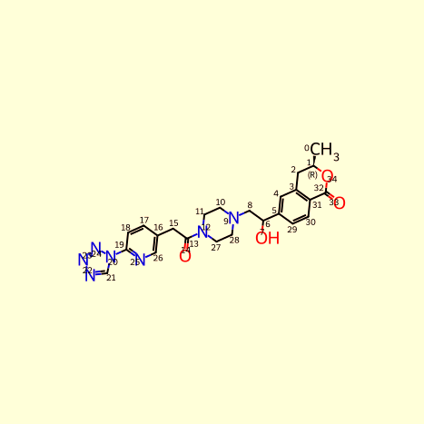 C[C@@H]1Cc2cc(C(O)CN3CCN(C(=O)Cc4ccc(-n5cnnn5)nc4)CC3)ccc2C(=O)O1